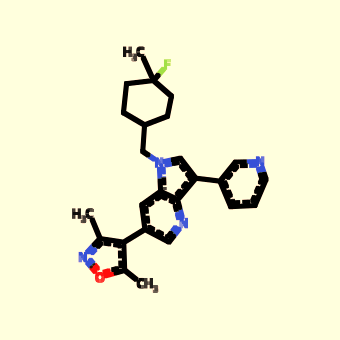 Cc1noc(C)c1-c1cnc2c(-c3cccnc3)cn(CC3CCC(C)(F)CC3)c2c1